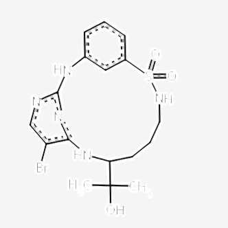 CC(C)(O)C1CCCNS(=O)(=O)c2cccc(c2)Nc2ncc(Br)c(n2)N1